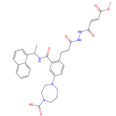 COC(=O)/C=C/C(=O)NNC(=O)CCc1ccc(N2CCCN(C(=O)O)CC2)cc1C(=O)NC(C)c1cccc2ccccc12